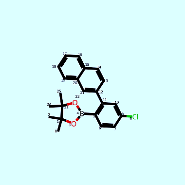 CC1(C)OB(c2ccc(Cl)cc2-c2ccc3ccccc3c2)OC1(C)C